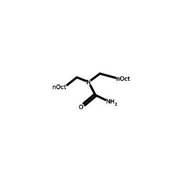 CCCCCCCCCN(CCCCCCCCC)C(N)=O